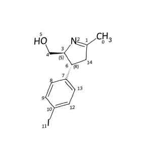 CC1=N[C@H](CO)[C@@H](c2ccc(I)cc2)C1